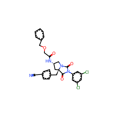 N#Cc1ccc(C[C@@]23C[C@H](NC(=O)COCc4ccccc4)CN2C(=O)N(c2cc(Cl)cc(Cl)c2)C3=O)cc1